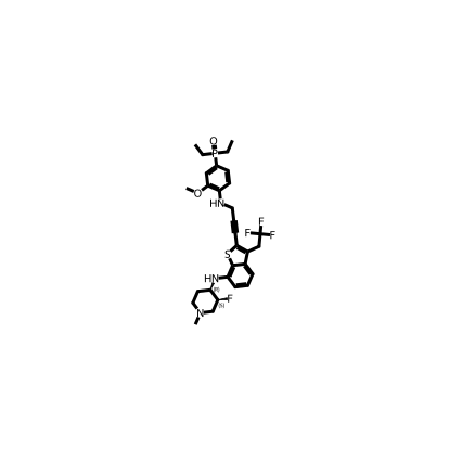 CCP(=O)(CC)c1ccc(NCC#Cc2sc3c(N[C@@H]4CCN(C)C[C@@H]4F)cccc3c2CC(F)(F)F)c(OC)c1